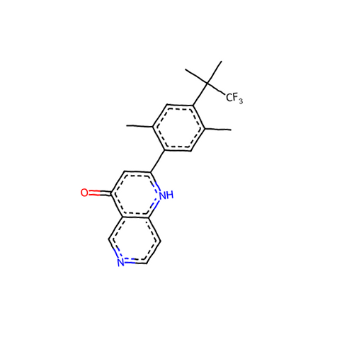 Cc1cc(C(C)(C)C(F)(F)F)c(C)cc1-c1cc(=O)c2cnccc2[nH]1